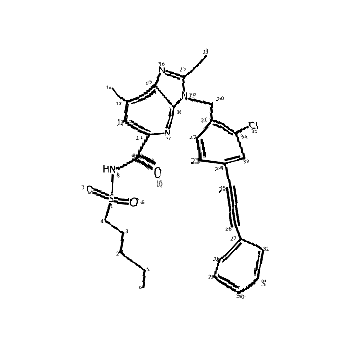 CCCCCS(=O)(=O)NC(=O)c1cc(C)c2nc(C)n(Cc3ccc(C#Cc4ccccc4)cc3Cl)c2n1